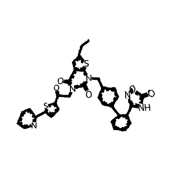 CCc1cc2c(=O)n(CC(=O)c3ccc(-c4ccccn4)s3)c(=O)n(Cc3ccc(-c4ccccc4-c4noc(=O)[nH]4)cc3)c2s1